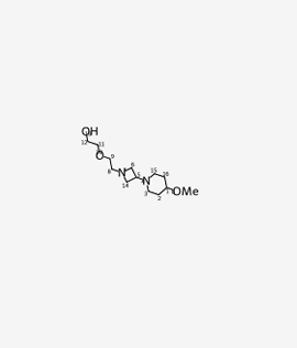 COC1CCN(C2CN(CCOCCO)C2)CC1